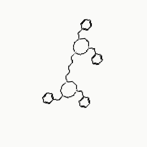 c1ccc(CN2CCN(CCCCCN3CCN(Cc4ccccc4)CCN(Cc4ccccc4)CC3)CCN(Cc3ccccc3)CC2)cc1